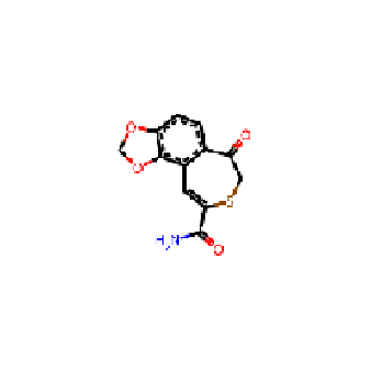 NC(=O)C1=Cc2c(ccc3c2OCO3)C(=O)CS1